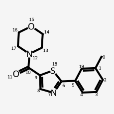 Cc1cccc(-c2ncc(C(=O)N3CCOCC3)s2)c1